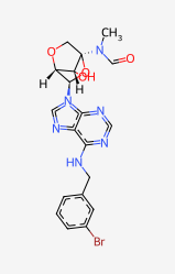 CN(C=O)[C@]12CO[C@@H]([C@H](n3cnc4c(NCc5cccc(Br)c5)ncnc43)O1)[C@H]2O